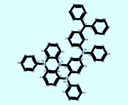 c1ccc(C(c2ccccc2)c2cccc(N(c3ccccc3)c3ccc4c(c3)B3c5ccccc5N(c5ccccc5)c5cccc(c53)N4c3ccccc3)c2)cc1